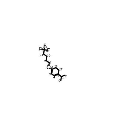 CC(C)C1=CC=C(OCCCCC(F)(F)F)CC1